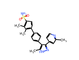 Cc1cc(-c2n[nH]c(C)c2-c2ccc(-c3ccc(S(N)(=O)=O)c(C)c3C)cc2)ccn1